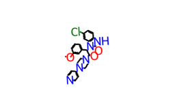 COc1cccc(C(C(=O)N2CCN(c3ccncc3)CC2)n2c(=O)[nH]c3ccc(Cl)cc32)c1